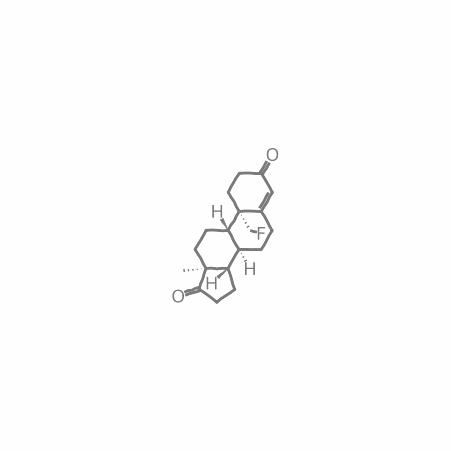 C[C@]12CC[C@H]3[C@@H](CCC4=CC(=O)CC[C@@]43CF)[C@@H]1CCC2=O